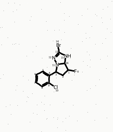 FC1CC(c2ccccc2Cl)N2N=C(Br)NC12